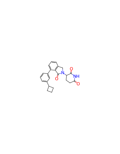 O=C1CCC(N2Cc3cccc(-c4cccc(C5CCC5)c4)c3C2=O)C(=O)N1